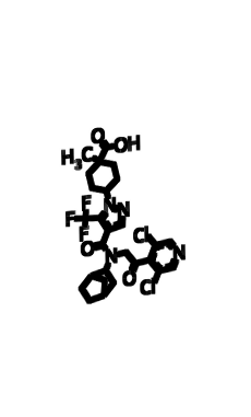 CC1(C(=O)O)CCC(n2ncc(C(=O)N(CC(=O)c3c(Cl)cncc3Cl)C3CC4CCC3C4)c2C(F)(F)F)CC1